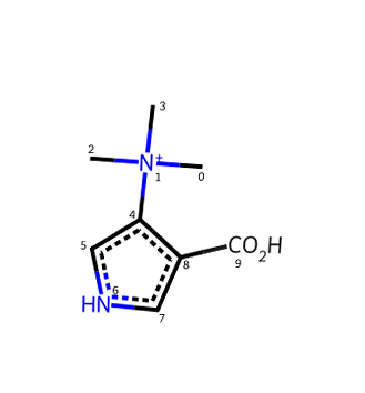 C[N+](C)(C)c1c[nH]cc1C(=O)O